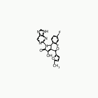 Cc1ccc(C(=O)C2=C(O)C(=O)N(c3ncc4nc[nH]c4n3)C2c2ccc(F)cc2F)o1